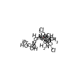 CCC(C(=O)N1CCN(Cc2ccc3c(c2)CN(C(=O)c2cc(C(C)C)c(O)cc2O)C3)CC1)(c1nc2c(N)c(CCCl)ccc2n1C)c1nc2c(N)c(CCCl)ccc2n1C